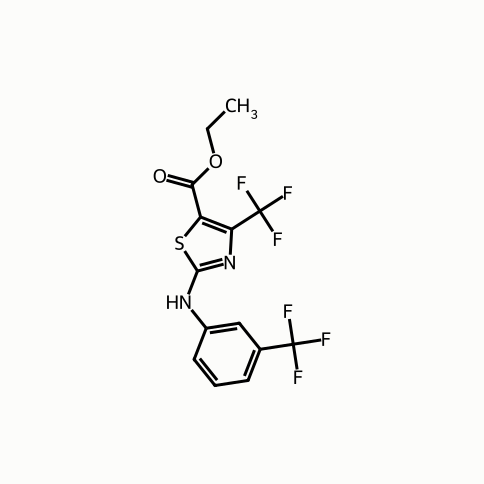 CCOC(=O)c1sc(Nc2cccc(C(F)(F)F)c2)nc1C(F)(F)F